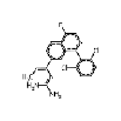 CC=C(N=C(N)N)c1ccc2c(F)cnc(-c3c(Cl)cccc3Cl)c2c1